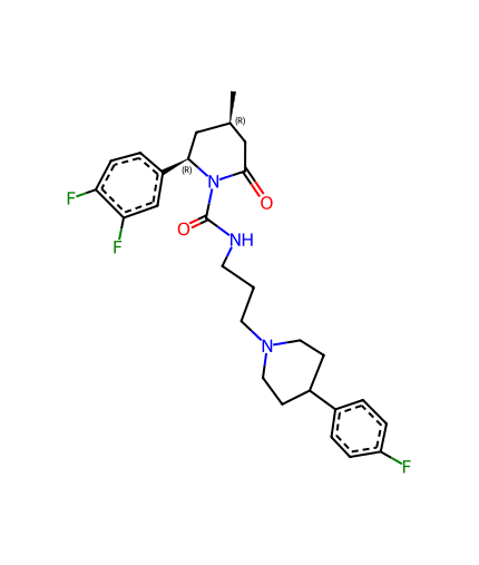 C[C@H]1CC(=O)N(C(=O)NCCCN2CCC(c3ccc(F)cc3)CC2)[C@@H](c2ccc(F)c(F)c2)C1